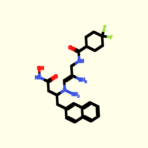 N/C(=C\N(N)C(CC(=O)NO)Cc1ccc2ccccc2c1)CNC(=O)C1CCC(F)(F)CC1